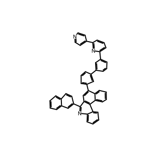 c1cc(-c2cccc(-c3cc4c(-c5ccc6ccccc6c5)nc5ccccc5c4c4ccccc34)c2)cc(-c2cccc(-c3ccncc3)n2)c1